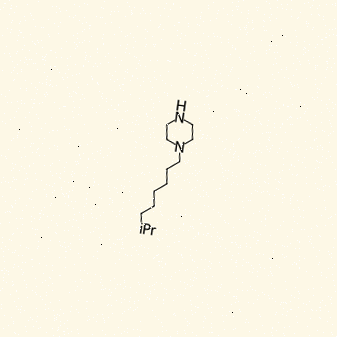 CC(C)CCCCCCN1CCNCC1